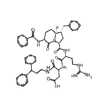 N=C(N)NCCC(NC(=O)C1C[C@@H](Cc2ccccc2)[C@@H]2CCC(NC(=O)c3ccccc3)C(=O)N12)C(=O)NC(CC(=O)O)C(=O)NCCC(c1ccccc1)c1ccccc1